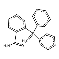 C=P(c1ccccc1)(c1ccccc1)c1ccccc1C(N)=O